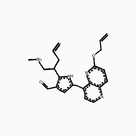 C=CCOc1ccc2nccc(-c3cc(C=O)c(C(CC=C)CNC)[nH]3)c2n1